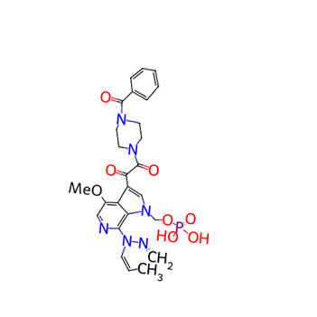 C=NN(/C=C\C)c1ncc(OC)c2c(C(=O)C(=O)N3CCN(C(=O)c4ccccc4)CC3)cn(COP(=O)(O)O)c12